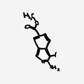 COC(=O)c1ccc2c(I)c(N)ncc2c1